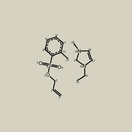 C=CCOS(=O)(=O)c1ccccc1C.CCN1C=CN(C)C1